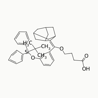 CC(C)(C)[Si](Oc1cccc(C(OCCCC(=O)O)=C2C3CC4CC(C3)CC2C4)c1)(c1ccccc1)c1ccccc1